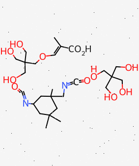 CC(=COCC(CO)(CO)CO)C(=O)O.CC1(C)CC(N=C=O)CC(C)(CN=C=O)C1.OCC(CO)(CO)CO